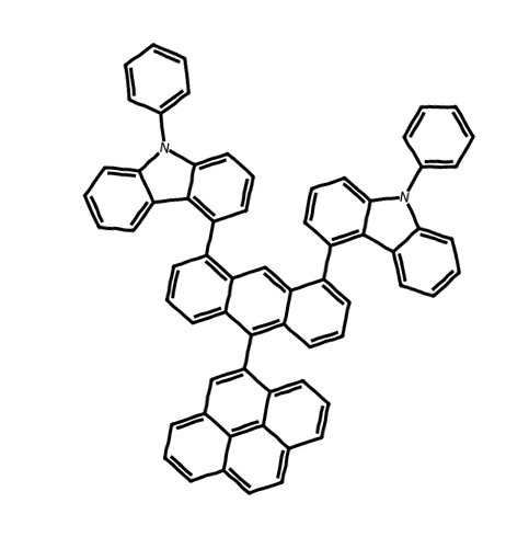 c1ccc(-n2c3ccccc3c3c(-c4cccc5c(-c6cc7cccc8ccc9cccc6c9c87)c6cccc(-c7cccc8c7c7ccccc7n8-c7ccccc7)c6cc45)cccc32)cc1